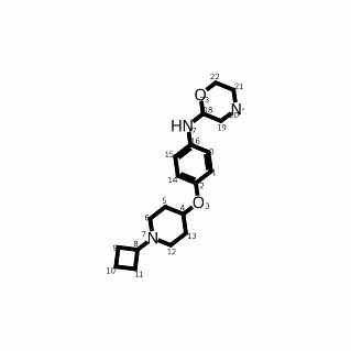 c1cc(OC2CCN(C3CCC3)CC2)ccc1NC1C[N]CCO1